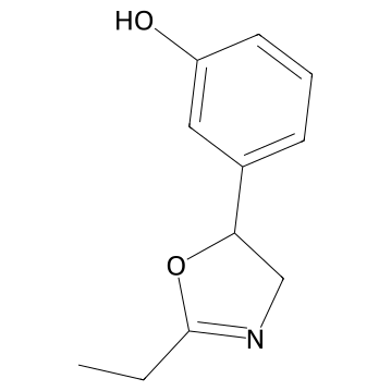 CCC1=NCC(c2cccc(O)c2)O1